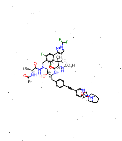 CCC(=O)N[C@H](C(=O)NN(Cc1c(F)cc(-c2ccn(C(F)F)n2)cc1F)C[C@H](O)[C@H](Cc1ccc(C#Cc2ccc(N3CC4CCC(C3)N4C3COC3)nc2)cc1)NC(=O)[C@@H](NC(=O)O)C(C)(C)C(F)(F)F)C(C)(C)C